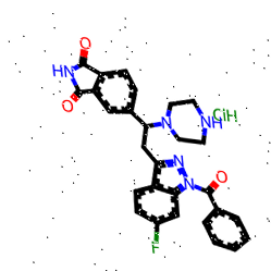 Cl.O=C1NC(=O)c2cc(C(Cc3nn(C(=O)c4ccccc4)c4cc(F)ccc34)N3CCNCC3)ccc21